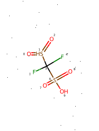 O=[SH](=O)C(F)(F)S(=O)(=O)O